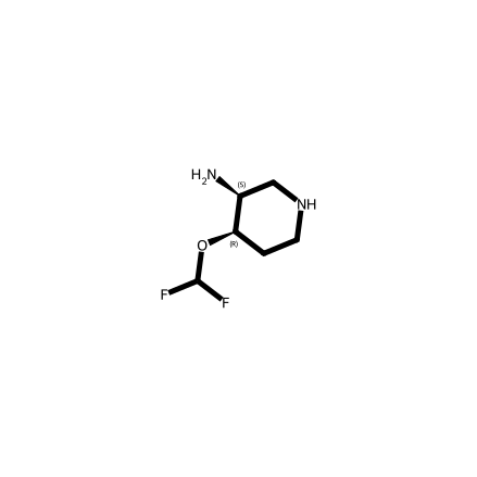 N[C@H]1CNCC[C@H]1OC(F)F